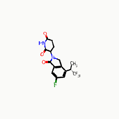 C[C@@H](c1cc(F)cc2c1CN(C1CCC(=O)NC1=O)C2=O)C(F)(F)F